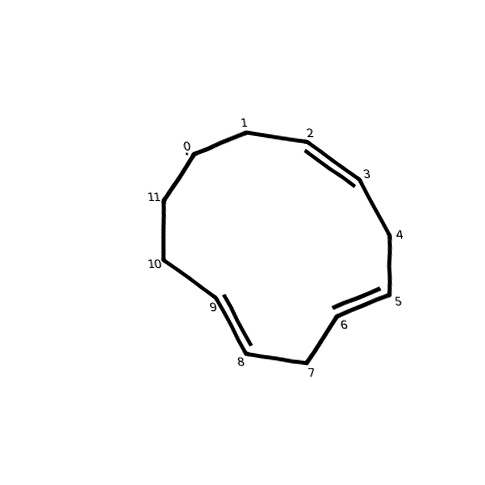 [CH]1C/C=C\C/C=C/C/C=C/CC1